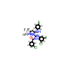 CCCNC(CC(N/C(=N\C(=O)c1cccc(Cl)c1)Nc1cc(F)cc(Cl)c1)Nc1ccc(F)cc1)C(F)(F)F